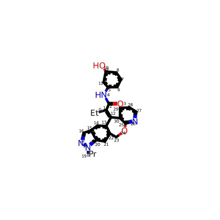 CC/C(C(=O)Nc1cccc(O)c1)=C1\c2cc3cnn(C(C)C)c3cc2COc2ncccc21